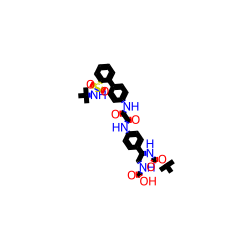 CC(C)(C)NS(=O)(=O)c1ccccc1-c1ccc(NC(=O)C(=O)Nc2ccc(C(CNC(=O)O)NC(=O)OC(C)(C)C)cc2)cc1